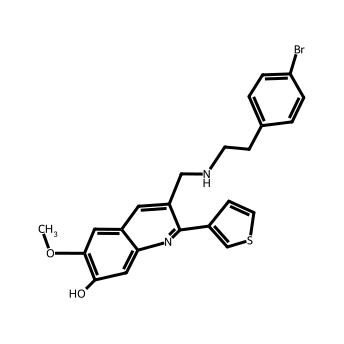 COc1cc2cc(CNCCc3ccc(Br)cc3)c(-c3ccsc3)nc2cc1O